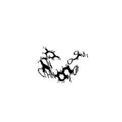 CNC(=O)COc1cc2cc(Nc3nc(N4CC(C)CC(C)C4)ncc3Cl)ccc2n(C)c1=O